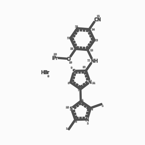 Br.Cc1nc(C)c(-c2csc(Nc3cc(C#N)ccc3OC(C)C)n2)s1